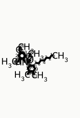 CCCCCCCC[C@@H]1CC(C)=C(C)C[C@H]1C(=O)Nc1c(OC)cc(OC)cc1OC